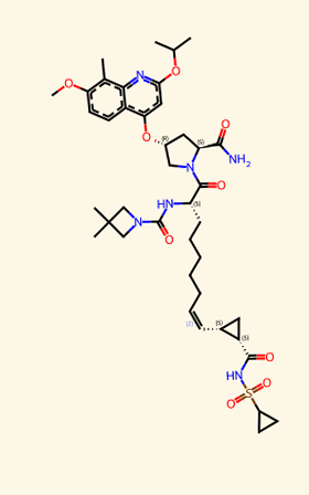 COc1ccc2c(O[C@@H]3C[C@@H](C(N)=O)N(C(=O)[C@H](CCCCC/C=C\[C@@H]4C[C@@H]4C(=O)NS(=O)(=O)C4CC4)NC(=O)N4CC(C)(C)C4)C3)cc(OC(C)C)nc2c1C